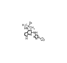 CC(C)(Nc1nc(Nc2cn(C3COC3)nn2)nc2[nH]ccc12)C1CC1